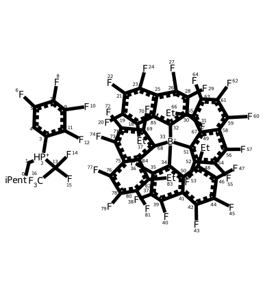 CCCC(C)C[PH+](c1cc(F)c(F)c(F)c1F)C(F)(F)C(F)(F)F.CCc1c(F)c(F)c(F)c2c(F)c(F)c(F)c([B-](c3c(F)c(F)c(F)c4c(F)c(F)c(F)c(CC)c34)(c3c(F)c(F)c(F)c4c(F)c(F)c(F)c(CC)c34)c3c(F)c(F)c(F)c4c(F)c(F)c(F)c(CC)c34)c12